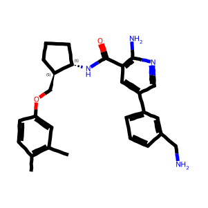 Cc1ccc(OC[C@H]2CCC[C@@H]2NC(=O)c2cc(-c3cccc(CN)c3)cnc2N)cc1C